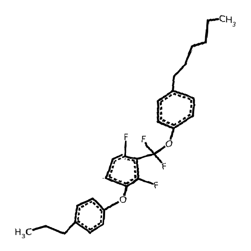 CCCCCCc1ccc(OC(F)(F)c2c(F)c[c]c(Oc3ccc(CCC)cc3)c2F)cc1